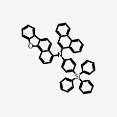 c1ccc([Si](c2ccccc2)(c2ccccc2)c2ccc(N(c3cc4ccccc4c4ccccc34)c3cccc4c3ccc3c5ccccc5oc43)cc2)cc1